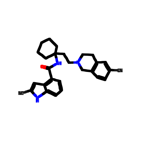 N#Cc1ccc2c(c1)CCN(CCC1(NC(=O)c3cccc4[nH]c(C#N)cc34)CCCCC1)C2